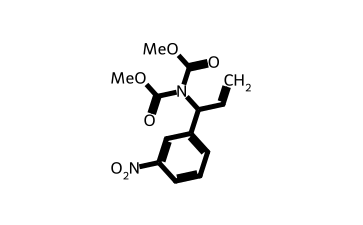 C=CC(c1cccc([N+](=O)[O-])c1)N(C(=O)OC)C(=O)OC